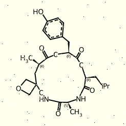 CC(C)C[C@@H]1CC(=O)[C@H](Cc2ccc(O)cc2)CC(=O)[C@H](C)CC2(CNC(=O)[C@H](C)NC1=O)COC2